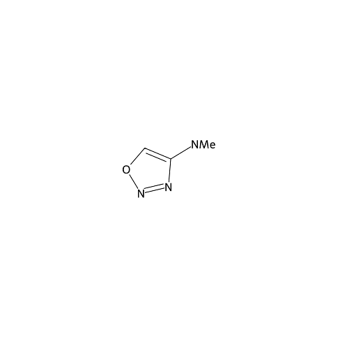 CNc1conn1